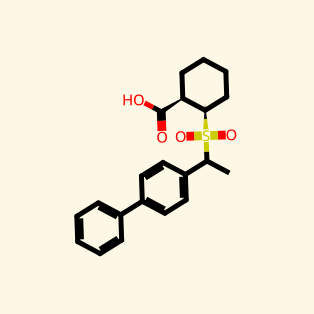 CC(c1ccc(-c2ccccc2)cc1)S(=O)(=O)[C@@H]1CCCC[C@@H]1C(=O)O